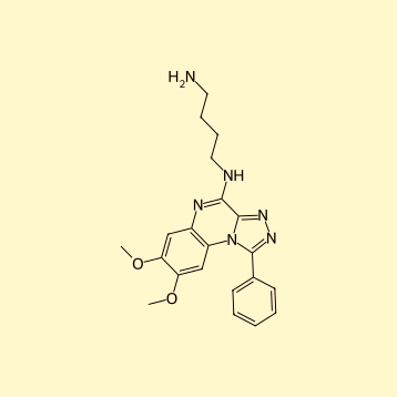 COc1cc2nc(NCCCCN)c3nnc(-c4ccccc4)n3c2cc1OC